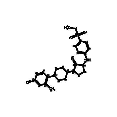 CCS(=O)(=O)c1ccc(N[C@H]2CCN(C3CCN(c4ncc(Cl)cc4C)CC3)C2=O)cn1